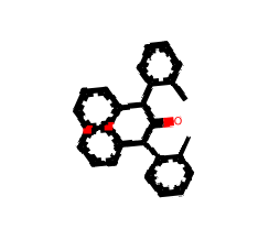 Cc1ccccc1C(C(=O)C(c1ccccc1)c1ccccc1C)c1ccccc1